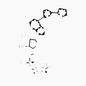 O=P(O)(O)OP(=O)(O)OP(=O)(O)OC[C@H]1O[C@@H](n2cnc3c(-c4ccc(-c5cccs5)s4)ccnc32)[C@H](O)[C@@H]1O